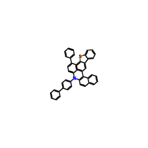 c1ccc(-c2ccc(N(c3ccc(-c4ccccc4)cc3)c3ccc4ccccc4c3-c3ccc4sc5ccccc5c4c3)cc2)cc1